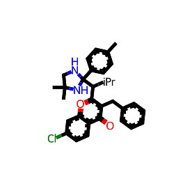 Cc1ccc(C2(C(c3oc4cc(Cl)ccc4c(=O)c3Cc3ccccc3)C(C)C)NCC(C)(C)N2)cc1